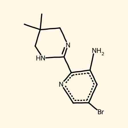 CC1(C)CN=C(c2ncc(Br)cc2N)NC1